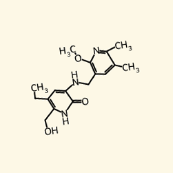 CCc1cc(NCc2cc(C)c(C)nc2OC)c(=O)[nH]c1CO